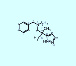 CN(Cc1ccccc1)CC(C)(C)c1ccn[nH]1